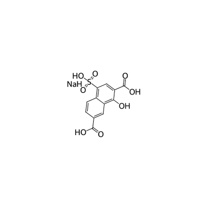 O=C(O)c1ccc2c(S(=O)(=O)O)cc(C(=O)O)c(O)c2c1.[NaH]